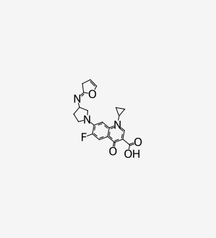 O=C(O)c1cn(C2CC2)c2cc(N3CCC(N=C4CC=CO4)C3)c(F)cc2c1=O